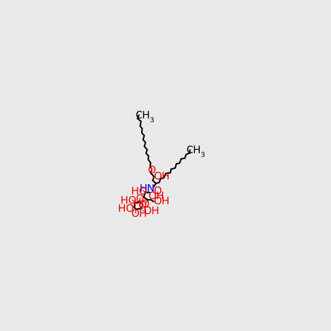 CCCCCCCCCCCCCCCCOCC(O)CC(CCCCCCCCCCCCCC)C(=O)NC[C@H](O)[C@@H](O[C@H]1O[C@H](CO)[C@@H](O)[C@H](O)[C@H]1O)[C@H](O)[C@H](O)CO